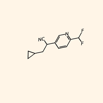 N#CC(CC1CC1)c1ccc(C(F)F)nc1